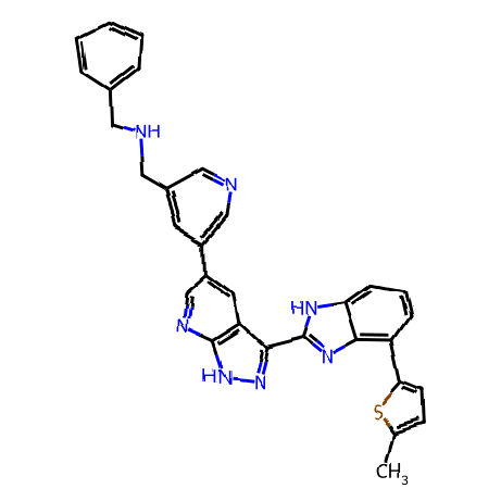 Cc1ccc(-c2cccc3[nH]c(-c4n[nH]c5ncc(-c6cncc(CNCc7ccccc7)c6)cc45)nc23)s1